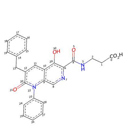 O=C(O)CCNC(=O)c1ncc2c(cc(Cc3ccccc3)c(=O)n2-c2ccccc2)c1O